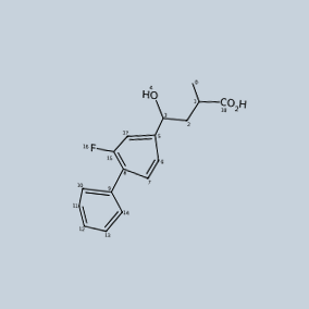 CC(CC(O)c1ccc(-c2ccccc2)c(F)c1)C(=O)O